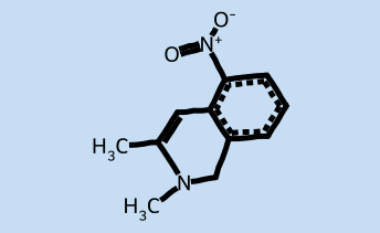 CC1=Cc2c(cccc2[N+](=O)[O-])CN1C